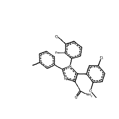 COc1ccc(Cl)cc1-c1c(C(N)=O)nc(-c2cccc(C)c2)n1-c1cccc(Cl)c1F